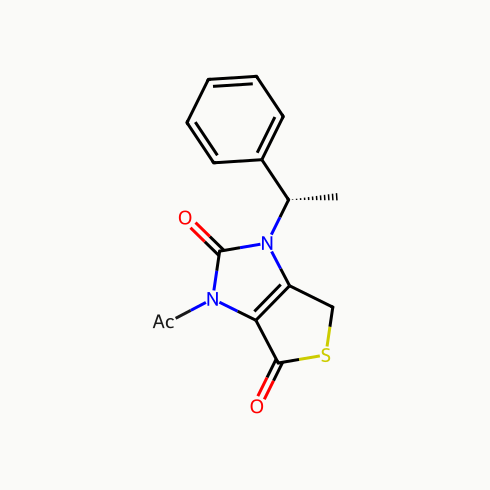 CC(=O)n1c2c(n([C@@H](C)c3ccccc3)c1=O)CSC2=O